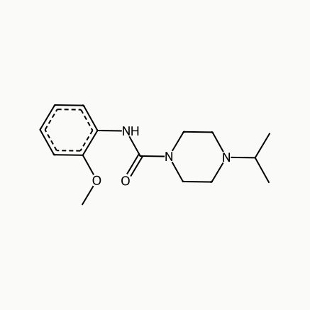 COc1ccccc1NC(=O)N1CCN(C(C)C)CC1